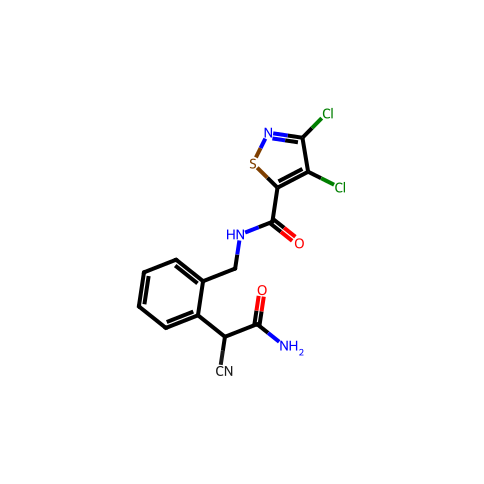 N#CC(C(N)=O)c1ccccc1CNC(=O)c1snc(Cl)c1Cl